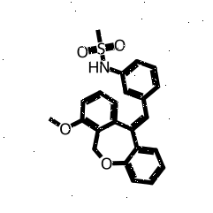 COc1cccc2c1COc1ccccc1/C2=C/c1cccc(NS(C)(=O)=O)c1